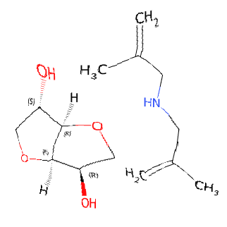 C=C(C)CNCC(=C)C.O[C@@H]1CO[C@H]2[C@@H]1OC[C@@H]2O